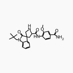 COc1cc(C(N)=O)ccc1NC(=O)C1CC2(CN1)C(=O)N(CC(C)(C)C)c1ccccc12